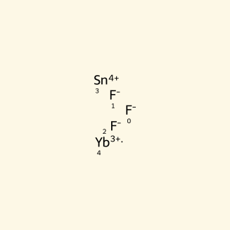 [F-].[F-].[F-].[Sn+4].[Yb+3]